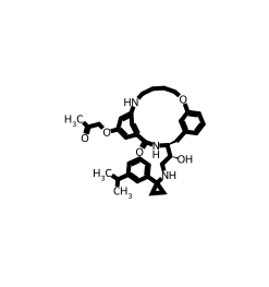 CC(=O)COc1cc2cc(c1)C(=O)N[C@H]([C@H](O)CNC1(c3cccc(C(C)C)c3)CC1)Cc1cccc(c1)OCCCCN2